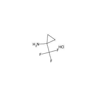 Cl.NC1(C(F)(F)F)CC1